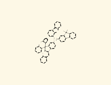 CC1(C)c2ccccc2-c2ccc(N(c3ccc4c(c3)C3(c5ccccc5Oc5ccccc53)c3cc5ccccc5cc3-4)c3cccc4c3sc3ccccc34)cc21